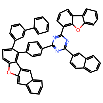 c1ccc(-c2cccc(-c3ccc4oc5cc6ccccc6cc5c4c3-c3ccc(-c4nc(-c5ccc6ccccc6c5)nc(-c5cccc6c5oc5ccccc56)n4)cc3)c2)cc1